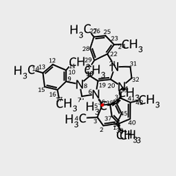 CC1=CC(C)C(N2[C]N(c3c(C)cc(C)cc3C)CC2=C2N(c3c(C)cc(C)cc3C)CCN2c2c(C)cc(C)cc2C)C(C)=C1